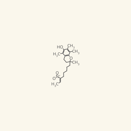 CC=C(CCCCCC1(C)CCc2c(C)c(O)c(C)c(C)c2O1)[N+](=O)[O-]